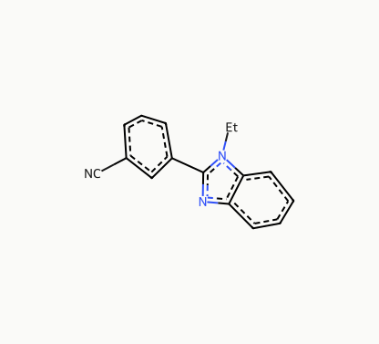 CCn1c(-c2cccc(C#N)c2)nc2ccccc21